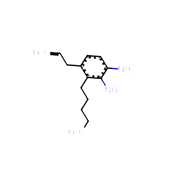 C=CCc1ccc(N)c(N)c1CCCCC